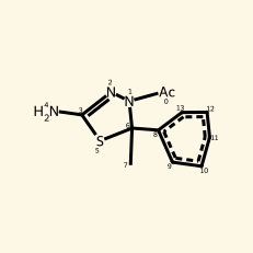 CC(=O)N1N=C(N)SC1(C)c1ccccc1